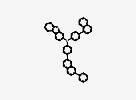 c1ccc(-c2ccc3ccc(-c4ccc(N(c5ccc(-c6cccc7ccccc67)cc5)c5ccc6c(c5)sc5ccccc56)cc4)cc3c2)cc1